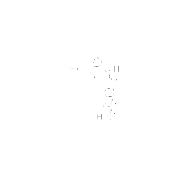 CNC(=O)Nc1ccc(CC(=O)N(C)C(CN2CCC(O)C2)c2ccccc2)cc1